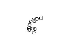 CCc1ccc(Oc2ccc3cc(Cl)ccc3n2)cc1C1=C(O)C2C3CCC(CC3)C2OC1